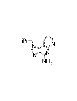 Cc1nc2c(N)nc3ncccc3c2n1CC(C)C